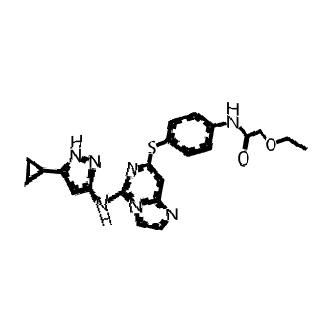 CCOCC(=O)Nc1ccc(Sc2cc3nccn3c(Nc3cc(C4CC4)[nH]n3)n2)cc1